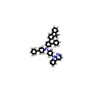 CC1(C)c2ccccc2-c2ccc(-c3ccc(N(c4ccc(-c5ccccc5)cc4)c4ccc(-n5c6ccccc6c6cccnc65)cc4)cc3-c3ccccc3)cc21